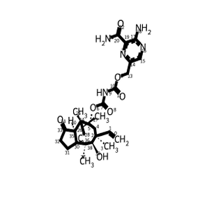 C=C[C@]1(C)C[C@@H](OC(=O)NC(=O)OCc2cnc(N)c(C(N)=O)n2)[C@]2(C)[C@H](C)CC[C@]3(CCC(=O)[C@H]32)[C@@H](C)[C@@H]1O